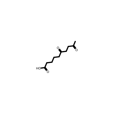 CC(=O)CCC(=O)CCCCC(=O)O